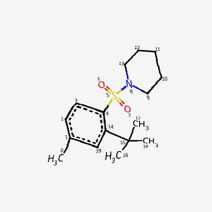 Cc1ccc(S(=O)(=O)N2CCCCC2)c(C(C)(C)C)c1